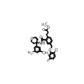 COC(=O)CCc1ccc(COc2cc(F)ccc2Cl)cc1C(=O)NC1(c2cc(C)cc(C)c2)CCOCC1